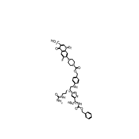 CCCC[C@H](NC(=O)OCc1ccccc1)c1cn([C@H](CCCNC(N)=O)CNc2ccc(COC(=O)N3CCN(c4cc5c(cc4F)c(=O)c(C(=O)O)cn5CC)CC3)cc2)nn1